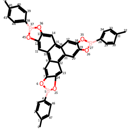 Cc1ccc(B2Oc3cc4c5cc6c(cc5c5cc7c(cc5c4cc3O2)OB(c2ccc(C)cc2)O7)OB(c2ccc(C)cc2)O6)cc1